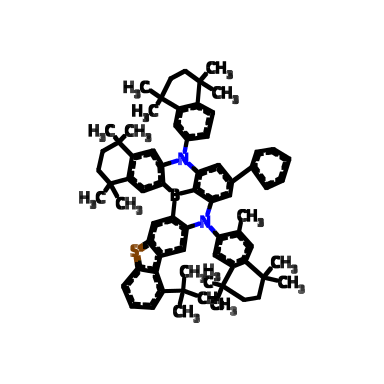 Cc1cc2c(cc1N1c3cc4c(cc3B3c5cc6c(cc5N(c5ccc7c(c5)C(C)(C)CCC7(C)C)c5cc(-c7ccccc7)cc1c53)C(C)(C)CCC6(C)C)sc1cccc(C(C)(C)C)c14)C(C)(C)CCC2(C)C